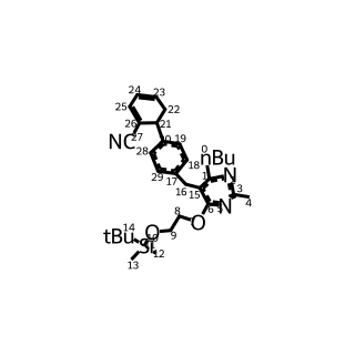 CCCCc1nc(C)nc(OCCO[Si](C)(C)C(C)(C)C)c1Cc1ccc(C2CC=CC=C2C#N)cc1